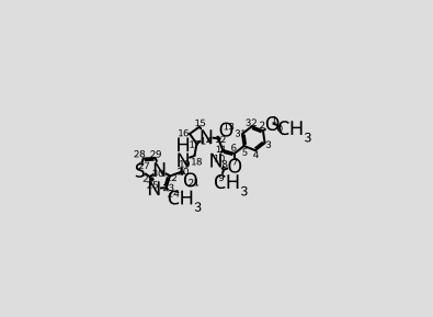 COc1ccc(-c2oc(C)nc2C(=O)N2CCC2CNC(=O)c2c(C)nc3sccn23)cc1